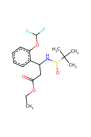 CCOC(=O)CC(N[S+]([O-])C(C)(C)C)c1ccccc1OC(F)F